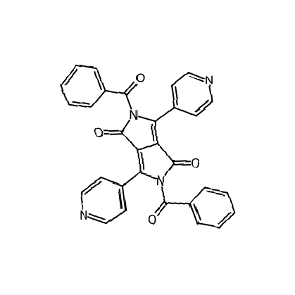 O=C1C2=C(c3ccncc3)N(C(=O)c3ccccc3)C(=O)C2=C(c2ccncc2)N1C(=O)c1ccccc1